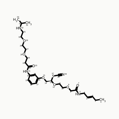 CC/C=C/CNC(=O)COCCO[C@@H](COc1cccc(NC(=O)CCOCCOCCNC(C)C)c1)SC#N